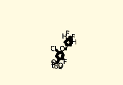 CC(C)(C)OC(=O)c1cc(Cl)c(OC[C@H]2C[C@@H]3[C@H](C2)C3(F)F)cc1F